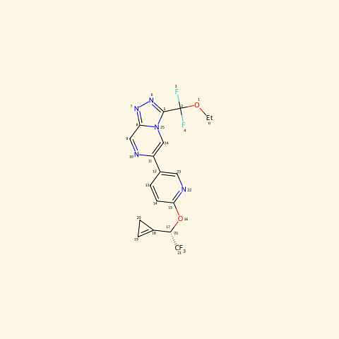 CCOC(F)(F)c1nnc2cnc(-c3ccc(O[C@@H](C4=CC4)C(F)(F)F)nc3)cn12